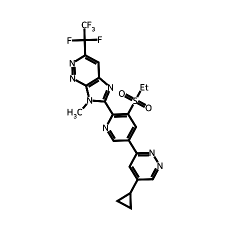 CCS(=O)(=O)c1cc(-c2cc(C3CC3)cnn2)cnc1-c1nc2cc(C(F)(F)C(F)(F)F)nnc2n1C